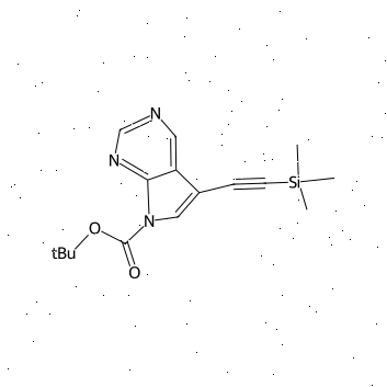 CC(C)(C)OC(=O)n1cc(C#C[Si](C)(C)C)c2cncnc21